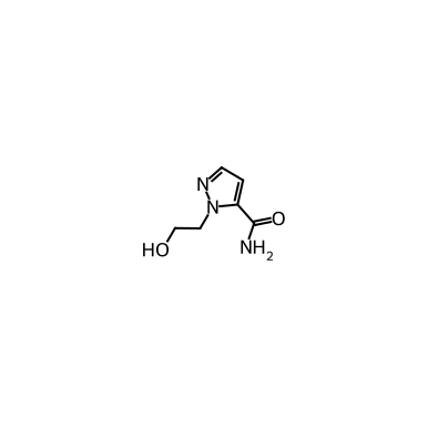 NC(=O)c1ccnn1CCO